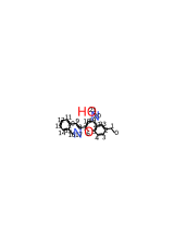 CCc1ccc2oc(-c3cc4ccccc4cn3)cc(=NO)c2c1